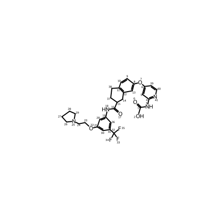 O=C(O)Nc1cc(Oc2ccc3c(c2)CC(C(=O)Nc2cc(OCCN4CCCC4)cc(C(F)(F)F)c2)CC3)ccn1